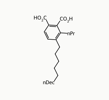 CCCCCCCCCCCCCCCc1ccc(C(=O)O)c(C(=O)O)c1CCC